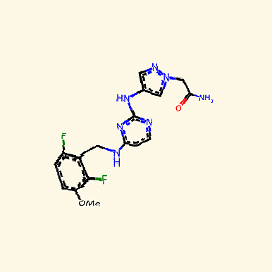 COc1ccc(F)c(CNc2ccnc(Nc3cnn(CC(N)=O)c3)n2)c1F